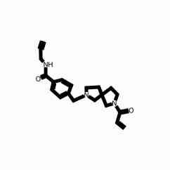 C#CCNC(=O)c1ccc(CN2CCC3(CCN(C(=O)C=C)C3)C2)cc1